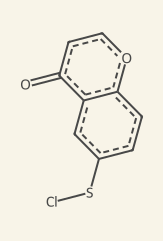 O=c1ccoc2ccc(SCl)cc12